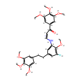 COc1cc(CCc2cc(F)c(OC)c(N/C=C\C(=O)c3cc(OC)c(OC)c(OC)c3)c2)cc(OC)c1OC